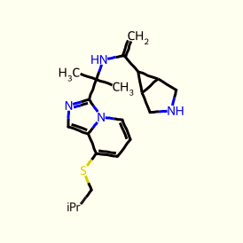 C=C(NC(C)(C)c1ncc2c(SCC(C)C)cccn12)C1C2CNCC21